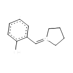 Cc1ccccc1C=[N+]1CCCC1